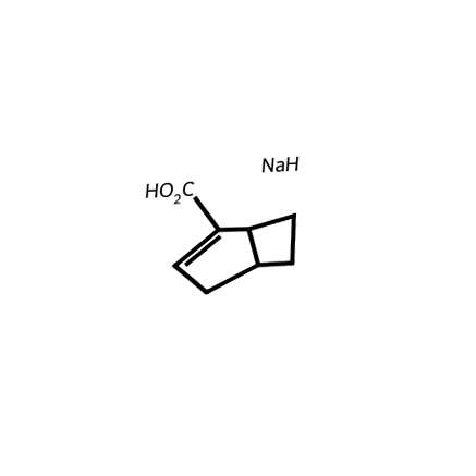 O=C(O)C1=CCC2CCC12.[NaH]